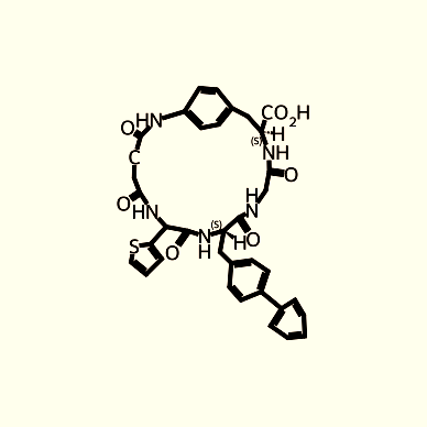 O=C1CCC(=O)NC(c2cccs2)C(=O)N[C@@H](Cc2ccc(-c3ccccc3)cc2)C(=O)NCC(=O)N[C@H](C(=O)O)Cc2ccc(cc2)N1